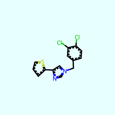 Clc1ccc(Cn2cnc(-c3cccs3)c2)cc1Cl